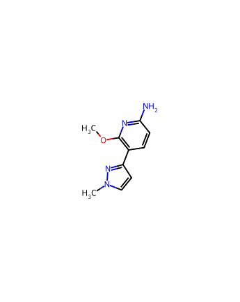 COc1nc(N)ccc1-c1ccn(C)n1